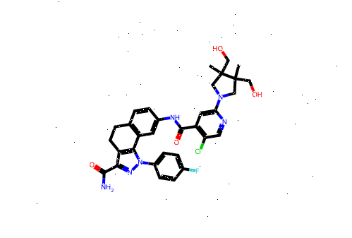 CC1(CO)CN(c2cc(C(=O)Nc3ccc4c(c3)-c3c(c(C(N)=O)nn3-c3ccc(F)cc3)CC4)c(Cl)cn2)CC1(C)CO